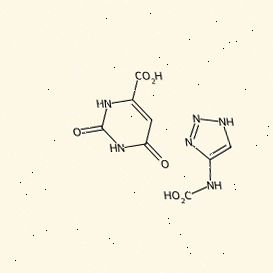 O=C(O)Nc1c[nH]nn1.O=C(O)c1cc(=O)[nH]c(=O)[nH]1